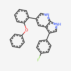 Fc1ccc(-c2c[nH]c3ncc(-c4ccccc4Oc4ccccc4)cc23)cc1